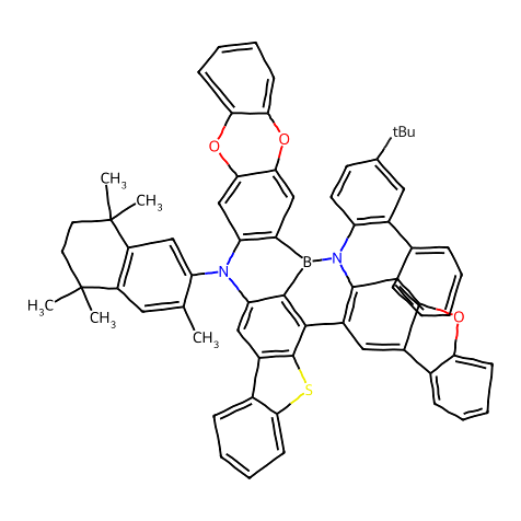 Cc1cc2c(cc1N1c3cc4c(cc3B3c5c1cc1c(sc6ccccc61)c5-c1cc5c(cc1N3c1ccc(C(C)(C)C)cc1-c1ccccc1)oc1ccccc15)Oc1ccccc1O4)C(C)(C)CCC2(C)C